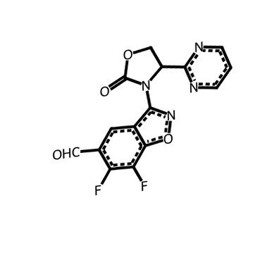 O=Cc1cc2c(N3C(=O)OCC3c3ncccn3)noc2c(F)c1F